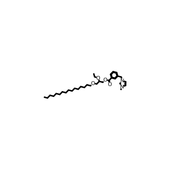 CCCCCCCCCCCCCCCCOCC(COC(=O)c1cccc(CN2C=CN(C)C2)c1)OCC